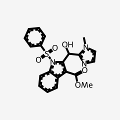 COC(=O)c1c(C(O)c2nccn2C)n(S(=O)(=O)c2ccccc2)c2ccccc12